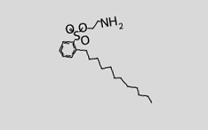 CCCCCCCCCCCCc1ccccc1S(=O)(=O)OCCN